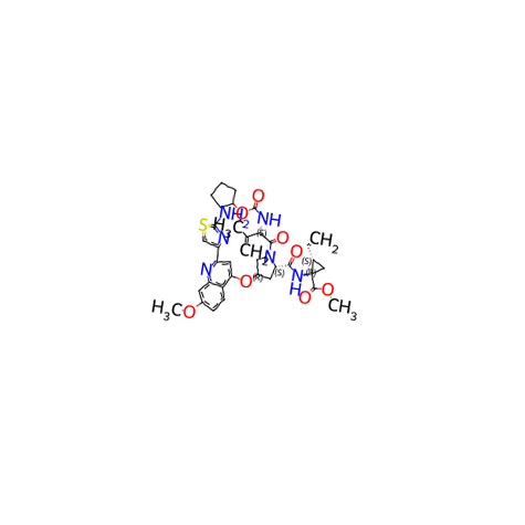 C=C[C@@H]1C[C@]1(NC(=O)[C@@H]1C[C@@H](Oc2cc(-c3csc(N)n3)nc3cc(OC)ccc23)CN1C(=O)[C@@H](NC(=O)OC1CCCC1)C(=C)C)C(=O)OC